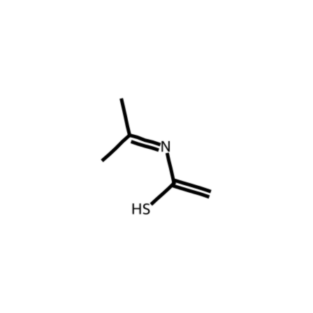 C=C(S)N=C(C)C